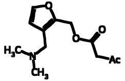 CC(=O)CC(=O)OCc1occc1CN(C)C